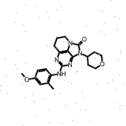 COc1ccc(Nc2nc3c4c(n2)n(C2CCOCC2)c(=O)n4CCC3)c(C)c1